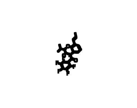 CC=Cc1cccc2c1OC(C(C)C)C(=O)N2C(=O)c1c(F)c(F)c(F)c(F)c1F